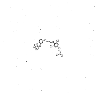 FC(F)(Br)C(F)(F)Oc1cccc(OCCCOc2c(Cl)cc(OCC=C(Cl)Cl)cc2Cl)c1